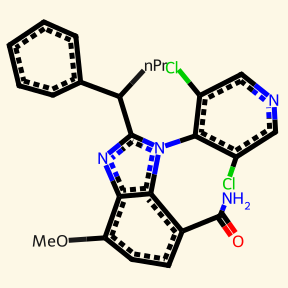 CCCC(c1ccccc1)c1nc2c(OC)ccc(C(N)=O)c2n1-c1c(Cl)cncc1Cl